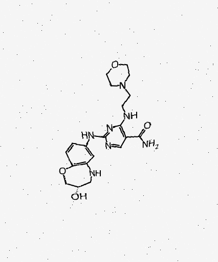 NC(=O)c1cnc(Nc2ccc3c(c2)NC[C@H](O)CO3)nc1NCCN1CCOCC1